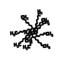 C=CC=CCC(=C(C=CCC=CC)CC=CC=CC)C(C=CC=C)(CCCC=CCCC)C(C=CCCCCCC)(CCC=CCCCC)C(CCCC=CCC)=C(CCC=CCCC)C(CC=CCCCC)C1C=CC1CC